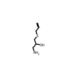 C=CCSCC(O)CN